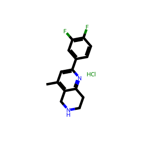 Cc1cc(-c2ccc(F)c(F)c2)nc2c1CNCC2.Cl